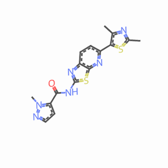 Cc1nc(C)c(-c2ccc3nc(NC(=O)c4ccnn4C)sc3n2)s1